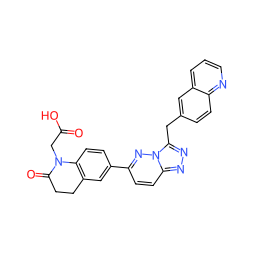 O=C(O)CN1C(=O)CCc2cc(-c3ccc4nnc(Cc5ccc6ncccc6c5)n4n3)ccc21